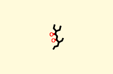 CCCC(CC)C(=O)CC(=O)C(CC)CC